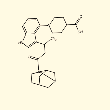 CC(CC(=O)N1C2CC3CC(C2)CC1C3)c1c[nH]c2cccc(N3CCC(C(=O)O)CC3)c12